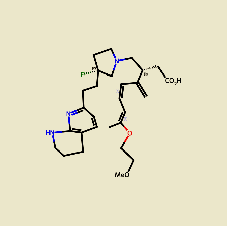 C=C(/C=C\C=C(/C)OCCOC)[C@@H](CC(=O)O)CN1CC[C@](F)(CCc2ccc3c(n2)NCCC3)C1